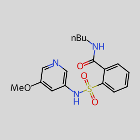 CCCCNC(=O)c1ccccc1S(=O)(=O)Nc1cncc(OC)c1